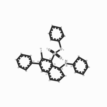 O=S(=O)(Oc1ccccc1)c1c(I)c(-c2ccccc2)cc2cccc(Nc3ccccc3)c12